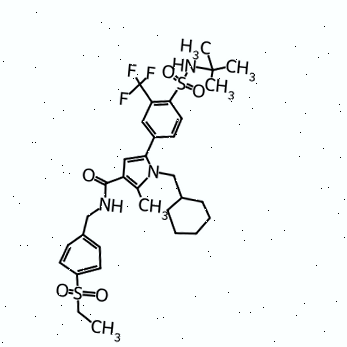 CCS(=O)(=O)c1ccc(CNC(=O)c2cc(-c3ccc(S(=O)(=O)NC(C)(C)C)c(C(F)(F)F)c3)n(CC3CCCCC3)c2C)cc1